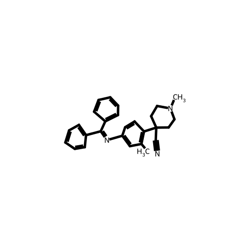 Cc1cc(N=C(c2ccccc2)c2ccccc2)ccc1C1(C#N)CCN(C)CC1